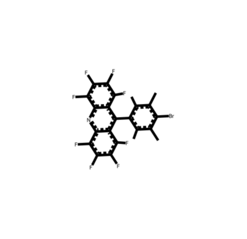 Cc1c(C)c(-c2c3c(F)c(F)c(F)c(F)c3nc3c(F)c(F)c(F)c(F)c23)c(C)c(C)c1Br